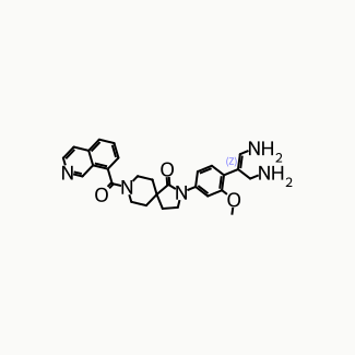 COc1cc(N2CCC3(CCN(C(=O)c4cccc5ccncc45)CC3)C2=O)ccc1/C(=C/N)CN